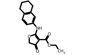 CCOC(=O)C1=C(Nc2ccc3c(c2)CCCC3)OCC1=O